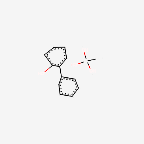 CO[Si](O)(O)O.Oc1ccccc1-c1ccccc1